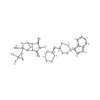 O=C1C2C3CC(C2C(=O)N1C[C@H]1CCCC[C@@H]1CN1CCC(c2noc4ccccc24)CC1)C(O)(C1CC1(F)F)C3